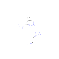 CC(=N)C(=N)Cn1ncc(C#N)c1N